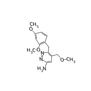 COCc1cc(N)nnc1Cc1ccc(OC)cc1OC